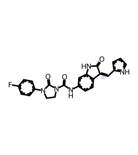 O=C1Nc2cc(NC(=O)N3CCN(c4ccc(F)cc4)C3=O)ccc2/C1=C/c1ccc[nH]1